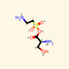 NCCS(=O)(=O)OC(=O)[C@@H](N)CO